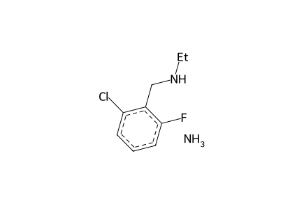 CCNCc1c(F)cccc1Cl.N